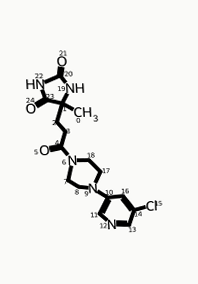 CC1(CCC(=O)N2CCN(c3cncc(Cl)c3)CC2)NC(=O)NC1=O